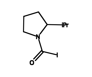 CC(C)C1CCCN1C(=O)I